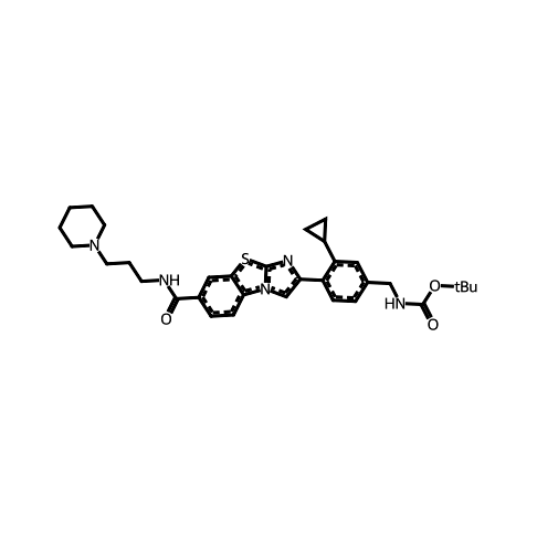 CC(C)(C)OC(=O)NCc1ccc(-c2cn3c(n2)sc2cc(C(=O)NCCCN4CCCCC4)ccc23)c(C2CC2)c1